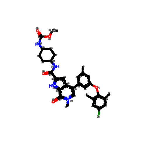 Cc1cc(Oc2c(C)cc(F)cc2C)cc(-c2cn(C)c(=O)c3[nH]c(C(=O)NC4CCC(NC(=O)OC(C)(C)C)CC4)cc23)c1